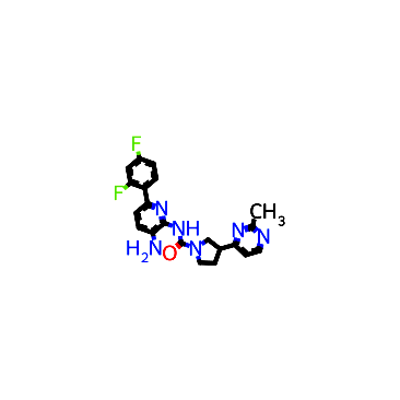 Cc1nccc(C2CCN(C(=O)Nc3nc(-c4ccc(F)cc4F)ccc3N)C2)n1